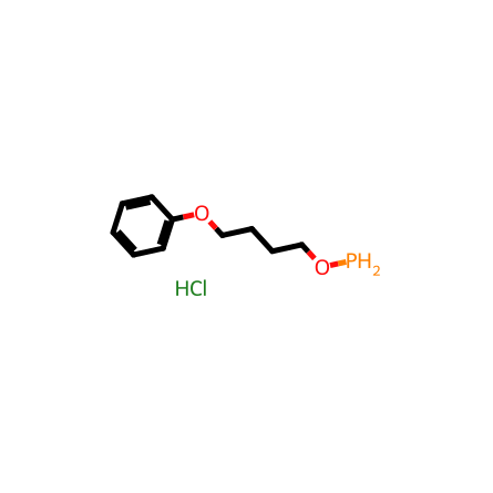 Cl.POCCCCOc1ccccc1